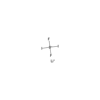 F[B-](F)(I)I.[Li+]